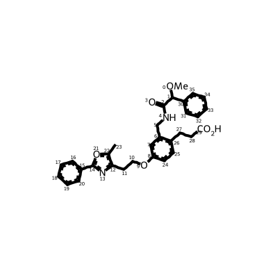 COC(C(=O)NCc1cc(OCCc2nc(-c3ccccc3)oc2C)ccc1CCC(=O)O)c1ccccc1